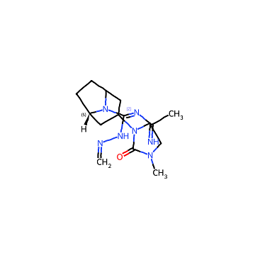 C=NN/C(=N\C(C)=N)N1C2CC[C@H]1CC(N1CCN(C)C1=O)C2